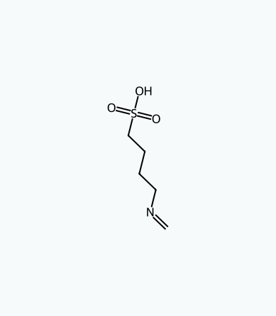 C=NCCCCS(=O)(=O)O